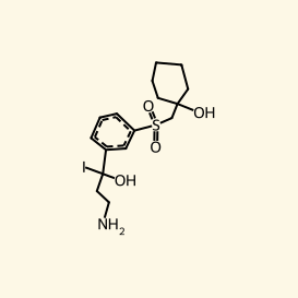 NCCC(O)(I)c1cccc(S(=O)(=O)CC2(O)CCCCC2)c1